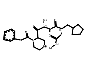 CC(C)(C)[C@H](NC(=O)[C@@H](CC(=O)NO)CC1CCCC1)C(=O)C1CNCCN1C(=O)Oc1ccccc1